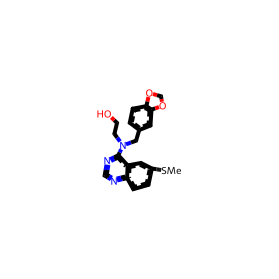 CSc1ccc2ncnc(N(CCO)Cc3ccc4c(c3)OCO4)c2c1